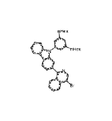 CCCCCCc1cc(CCCCCC)cc(-n2c3ccccc3c3ccc(-c4ncc(Br)c5ccccc45)cc32)c1